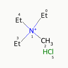 CC[N+](C)(CC)CC.Cl